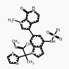 CCS(=O)(=O)Nc1cc(-c2cn(C)c3c(=O)[nH]ccc23)cc2c1ccn2C(C)(/C(C)=N/C)c1nccs1